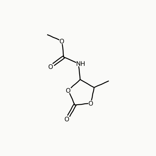 COC(=O)NC1OC(=O)OC1C